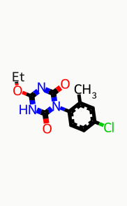 CCOc1nc(=O)n(-c2ccc(Cl)cc2C)c(=O)[nH]1